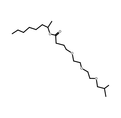 CCCCCCC(C)OC(=O)CCCOCCOCCOCC(C)C